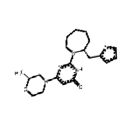 C[C@@H]1CN(c2cc(=O)[nH]c(N3CCCCC[C@H]3Cc3cccs3)n2)CCO1